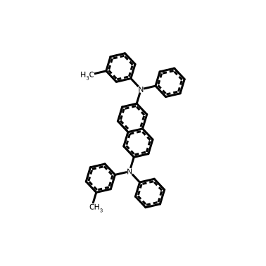 Cc1cccc(N(c2ccccc2)c2ccc3cc(N(c4ccccc4)c4cccc(C)c4)ccc3c2)c1